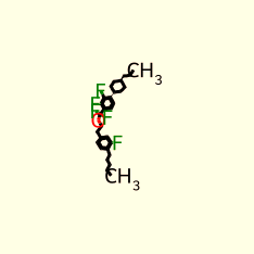 CCCCCc1ccc(CCOC(F)(F)c2ccc([C@H]3CC[C@H](CCC)CC3)c(F)c2F)cc1F